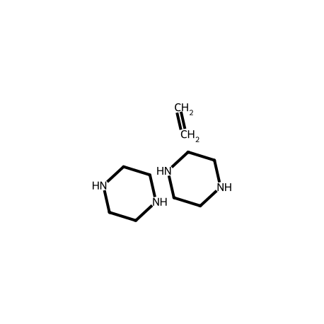 C1CNCCN1.C1CNCCN1.C=C